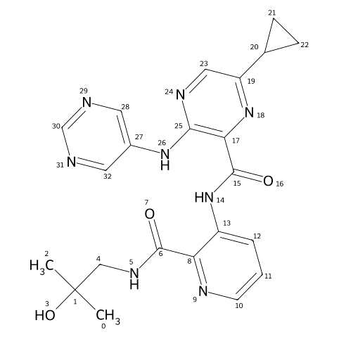 CC(C)(O)CNC(=O)c1ncccc1NC(=O)c1nc(C2CC2)cnc1Nc1cncnc1